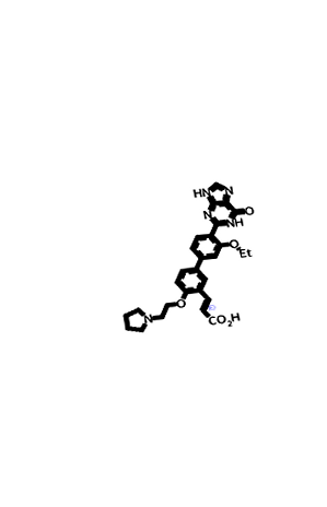 CCOc1cc(-c2ccc(OCCN3CCCC3)c(/C=C/C(=O)O)c2)ccc1-c1nc2[nH]cnc2c(=O)[nH]1